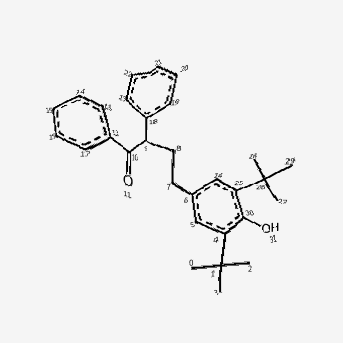 CC(C)(C)c1cc(CCC(C(=O)c2ccccc2)c2ccccc2)cc(C(C)(C)C)c1O